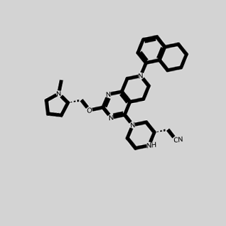 CN1CCC[C@H]1COc1nc2c(c(N3CCN[C@@H](CC#N)C3)n1)CCN(c1cccc3c1CCCC3)C2